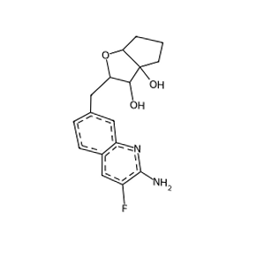 Nc1nc2cc(CC3OC4CCCC4(O)C3O)ccc2cc1F